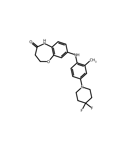 Cc1cc(N2CCC(F)(F)CC2)ccc1Nc1ccc2c(c1)OCCC(=O)N2